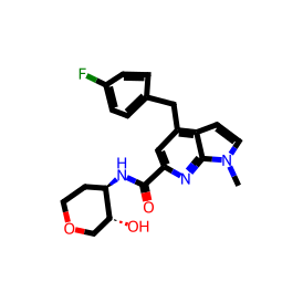 Cn1ccc2c(Cc3ccc(F)cc3)cc(C(=O)N[C@@H]3CCOC[C@H]3O)nc21